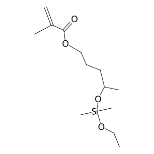 C=C(C)C(=O)OCCCC(C)O[Si](C)(C)OCC